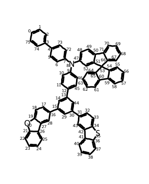 c1ccc(-c2ccc(N(c3ccc(-c4cc(-c5ccc6oc7ccccc7c6c5)cc(-c5ccc6sc7ccccc7c6c5)c4)cc3)c3ccc4c(c3)C3(c5ccccc5-c5ccccc53)c3ccccc3-4)cc2)cc1